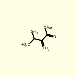 C=C(C(=O)OC)C([SiH3])C(=O)O